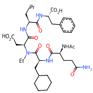 CCN(C(=O)[C@H](CC1CCCCC1)NC(=O)[C@H](CCC(N)=O)NC(C)=O)[C@@H](CC(=O)O)C(=O)N[C@@H](CC(C)C)C(=O)N[C@@H](Cc1ccccc1)C(=O)O